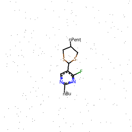 CCCCCC1CSC(c2cnc(CCCC)nc2F)SC1